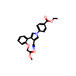 CCOC(=O)c1ccc(-n2cc(C#N)c(-c3ccccc3OCC(=O)OC)c2)cc1